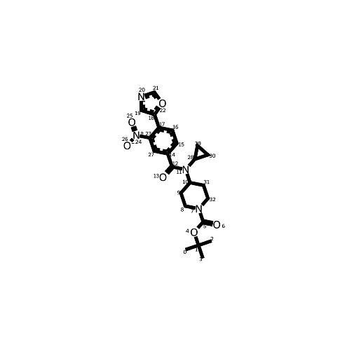 CC(C)(C)OC(=O)N1CCC(N(C(=O)c2ccc(-c3cnco3)c([N+](=O)[O-])c2)C2CC2)CC1